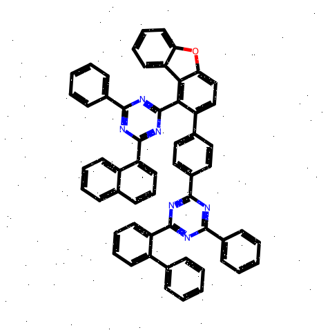 c1ccc(-c2nc(-c3ccc(-c4ccc5oc6ccccc6c5c4-c4nc(-c5ccccc5)nc(-c5cccc6ccccc56)n4)cc3)nc(-c3ccccc3-c3ccccc3)n2)cc1